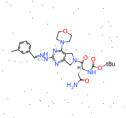 Cc1cccc(/C=N/Nc2nc3c(c(N4CCOCC4)n2)CN(C(=O)[C@@H](CC(N)=O)NC(=O)OC(C)(C)C)C3)c1